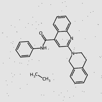 CC.O=C(Nc1ccccc1)c1cc(N2CCc3ccccc3C2)nc2ccccc12